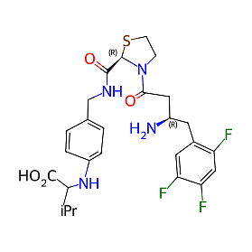 CC(C)C(Nc1ccc(CNC(=O)[C@H]2SCCN2C(=O)C[C@H](N)Cc2cc(F)c(F)cc2F)cc1)C(=O)O